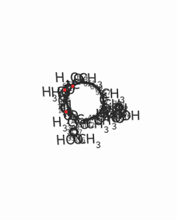 CO[C@H]1C[C@@H]2CC[C@@H](C)[C@@](O)(O2)C(=O)C(=O)N2CCCC[C@H]2C(=O)O[C@H]([C@H](C)C[C@@H]2CC[C@@H](O)[C@H](OC)C2)CC(=O)[C@H](C)/C=C(\C)[C@@H](O)[C@@H](OC)C(=O)[C@H](C)C[C@H](C)/C=C/C=C/C=C/1C.O=C(O)c1cccnc1C(=O)O